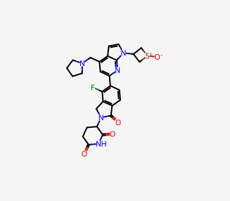 O=C1CCC(N2Cc3c(ccc(-c4cc(CN5CCCC5)c5ccn(C6C[S+]([O-])C6)c5n4)c3F)C2=O)C(=O)N1